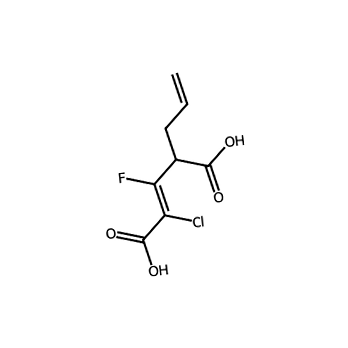 C=CCC(C(=O)O)/C(F)=C(\Cl)C(=O)O